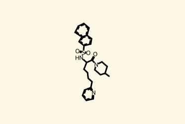 CC1CCN(C(=O)C(CCCCc2ccccn2)NS(=O)(=O)c2ccc3ccccc3c2)CC1